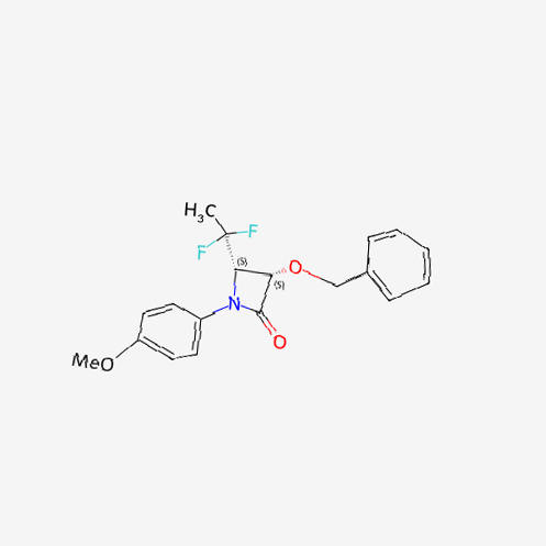 COc1ccc(N2C(=O)[C@@H](OCc3ccccc3)[C@H]2C(C)(F)F)cc1